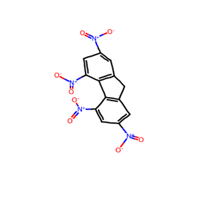 O=[N+]([O-])c1cc2c(c([N+](=O)[O-])c1)-c1c(cc([N+](=O)[O-])cc1[N+](=O)[O-])C2